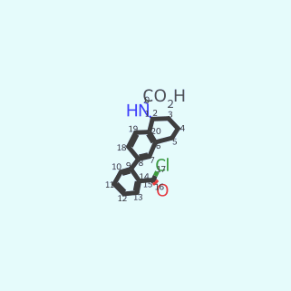 O=C(O)N[C@@H]1CCCc2cc(-c3ccccc3C(=O)Cl)ccc21